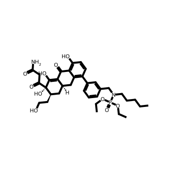 CCCCCN(Cc1cccc(-c2ccc(O)c3c2C[C@H]2C[C@@H](CCO)[C@@](O)(C(=O)CC(N)=O)C(O)=C2C3=O)c1)P(=O)(OCC)OCC